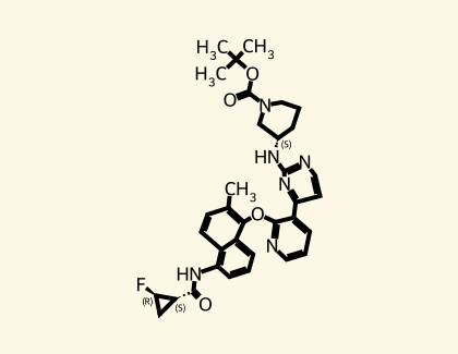 Cc1ccc2c(NC(=O)[C@@H]3C[C@H]3F)cccc2c1Oc1ncccc1-c1ccnc(N[C@H]2CCCN(C(=O)OC(C)(C)C)C2)n1